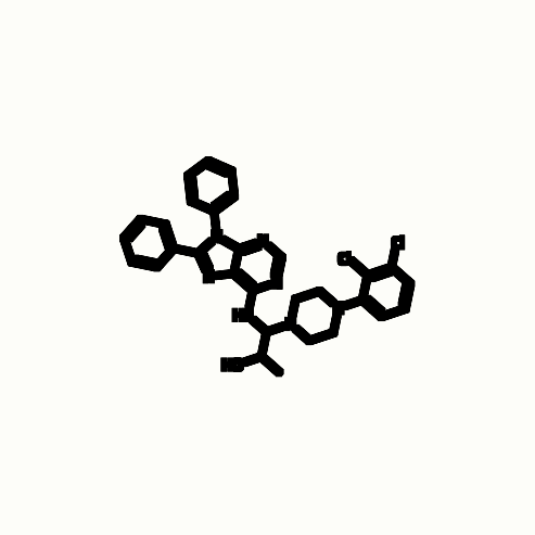 CC(O)C(Nc1ncnc2c1nc(-c1ccccc1)n2-c1ccccc1)N1CCN(c2cccc(Cl)c2Cl)CC1